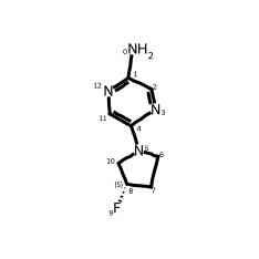 Nc1cnc(N2CC[C@H](F)C2)cn1